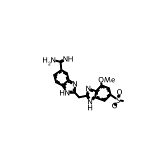 COc1cc(S(C)(=O)=O)cc2[nH]c(Cc3nc4cc(C(=N)N)ccc4[nH]3)nc12